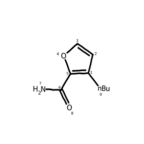 CCCCc1ccoc1C(N)=O